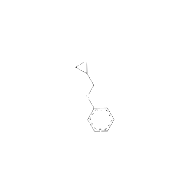 c1ccc(NCC2CO2)cc1